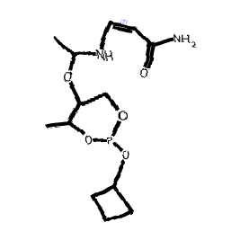 CC(N/C=C\C(N)=O)OC1COP(OC2CCC2)OC1C